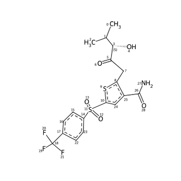 CC(C)[C@H](O)C(=O)Cc1sc(S(=O)(=O)c2ccc(C(F)(F)F)cc2)cc1C(N)=O